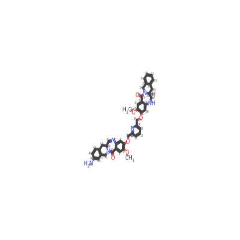 COc1cc2c(cc1OCc1cccc(COc3cc4c(cc3OC)C(=O)N3Cc5ccccc5C[C@H]3CN4)n1)N=CC1Cc3ccc(N)cc3CN1C2=O